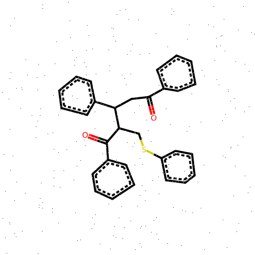 O=C(CC(c1ccccc1)C(CSc1ccccc1)C(=O)c1ccccc1)c1ccccc1